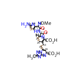 CO/N=C(\C(=O)N[C@@H]1C(=O)N2C(C(=O)O)=C(CSc3cc(C(=O)O)nc4nc(C)nn34)CS[C@H]12)c1csc(N)n1